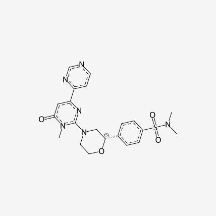 CN(C)S(=O)(=O)c1ccc([C@H]2CN(c3nc(-c4ccncn4)cc(=O)n3C)CCO2)cc1